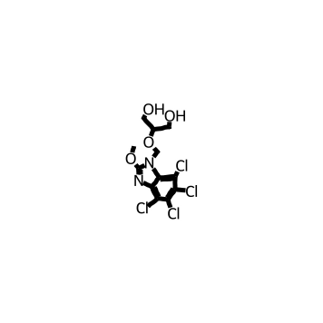 COc1nc2c(Cl)c(Cl)c(Cl)c(Cl)c2n1COC(CO)CO